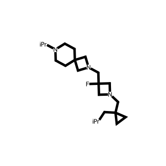 CC(C)CC1(CN2CC(F)(CN3CC4(CCN(C(C)C)CC4)C3)C2)CC1